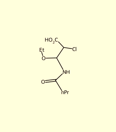 CCCC(=O)NC(OCC)C(Cl)C(=O)O